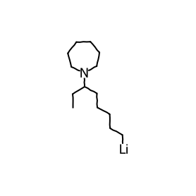 [Li][CH2]CCCCC(CC)N1CCCCCC1